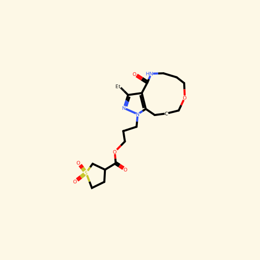 CCc1nn(CCCOC(=O)C2CCS(=O)(=O)C2)c2c1C(=O)NCCCOCCC2